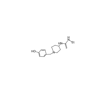 CCNC(=S)NC1CCN(Cc2ccc(O)cc2)CC1